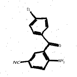 CCc1ccc(C(=O)c2cc(C#N)ccc2N)cc1